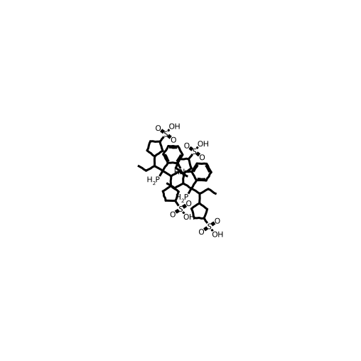 CCC(C1CCC(S(=O)(=O)O)C1)C(P)(c1ccccc1Nc1ccccc1C(P)(C(CC)C1CCC(S(=O)(=O)O)C1)C(CC)C1CCC(S(=O)(=O)O)C1)C(CC)C1CCC(S(=O)(=O)O)C1